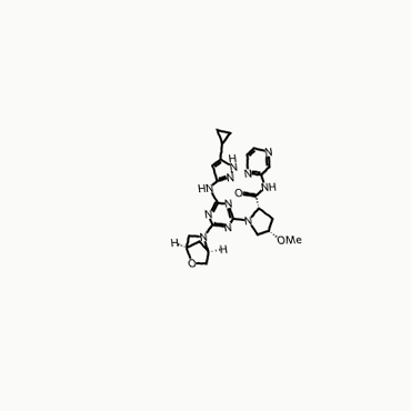 CO[C@H]1C[C@@H](C(=O)Nc2cnccn2)N(c2nc(Nc3cc(C4CC4)[nH]n3)nc(N3C[C@H]4C[C@@H]3CO4)n2)C1